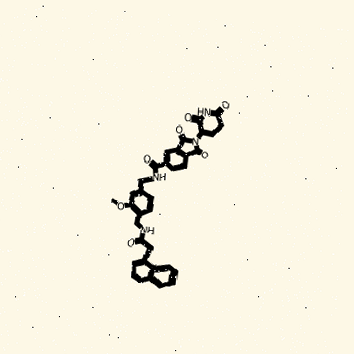 COc1cc(CNC(=O)c2ccc3c(c2)C(=O)N(C2CCC(=O)NC2=O)C3=O)ccc1CNC(=O)Cc1cccc2ccccc12